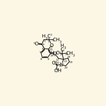 CC1(C)CC(=O)c2cccc(OCC3(C(C)(C)C)CCCN3C(=O)O)c2O1